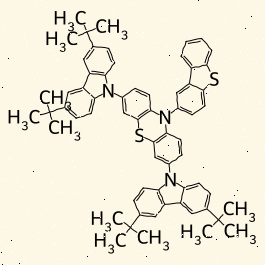 CC(C)(C)c1ccc2c(c1)c1cc(C(C)(C)C)ccc1n2-c1ccc2c(c1)Sc1cc(-n3c4ccc(C(C)(C)C)cc4c4cc(C(C)(C)C)ccc43)ccc1N2c1ccc2sc3ccccc3c2c1